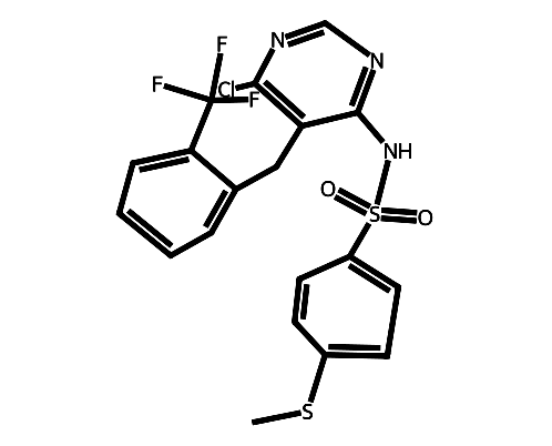 CSc1ccc(S(=O)(=O)Nc2ncnc(Cl)c2Cc2ccccc2C(F)(F)F)cc1